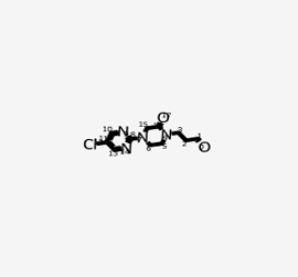 O=CCCN1CCN(c2ncc(Cl)cn2)CC1=O